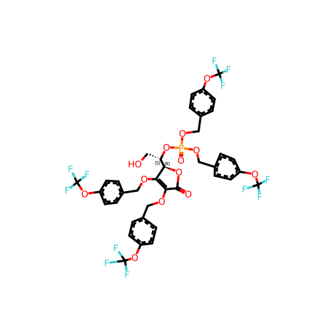 O=C1O[C@H]([C@H](CO)OP(=O)(OCc2ccc(OC(F)(F)F)cc2)OCc2ccc(OC(F)(F)F)cc2)C(OCc2ccc(OC(F)(F)F)cc2)=C1OCc1ccc(OC(F)(F)F)cc1